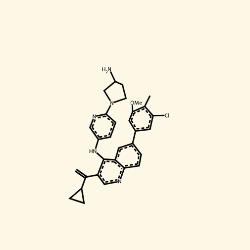 C=C(c1cnc2ccc(-c3cc(Cl)c(C)c(OC)c3)cc2c1Nc1ccc(N2CCC(N)C2)nc1)C1CC1